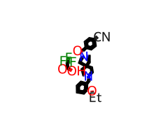 CCOc1ccccc1CN1CCC2(CC1)CCN(C(=O)c1ccc(C#N)cc1)CC2.O=C(O)C(F)(F)F